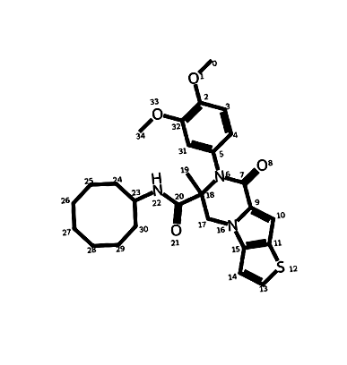 COc1ccc(N2C(=O)c3cc4sccc4n3CC2(C)C(=O)NC2CCCCCCC2)cc1OC